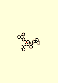 c1cc(-c2ccccc2N(c2ccc(-c3ccc4c5ccccc5c5ccccc5c4c3)cc2)c2ccc3oc4ccccc4c3c2)cc(-c2cccc3ccccc23)c1